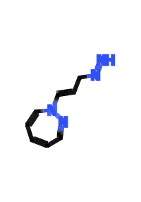 N=NCC=CN1C=CC=CC=N1